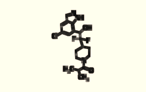 CC(C)C(=O)N1CCC(C(F)(F)C(O)c2cc(Cl)cc3cn[nH]c23)CC1